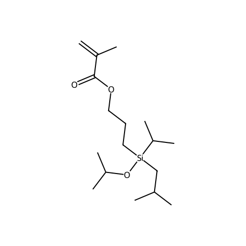 C=C(C)C(=O)OCCC[Si](CC(C)C)(OC(C)C)C(C)C